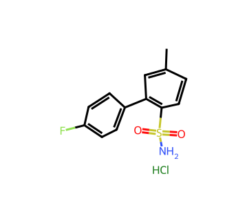 Cc1ccc(S(N)(=O)=O)c(-c2ccc(F)cc2)c1.Cl